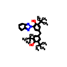 CC(C)(C)c1cc(Cc2cc(C(C)(C)C)c(O)c(C(C)(C)C)c2)cc(-n2nc3ccccc3n2)c1O